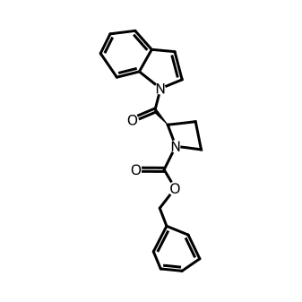 O=C(OCc1ccccc1)N1CC[C@@H]1C(=O)n1ccc2ccccc21